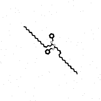 CCCC/C=C/CCCCCCCC/C=C\CCC(OCc1ccccc1)OC(CC/C=C\CCCCCCCC/C=C/CCCC)OCc1ccccc1